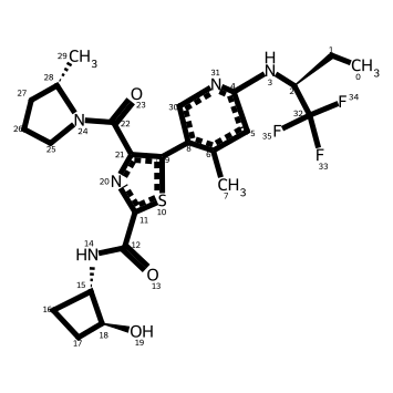 CC[C@H](Nc1cc(C)c(-c2sc(C(=O)N[C@H]3CC[C@@H]3O)nc2C(=O)N2CCC[C@@H]2C)cn1)C(F)(F)F